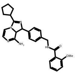 COc1ccccc1C(=O)NCc1ccc(C2N=C(C3CCCC3)N3C=CN=C(N)C23)cc1